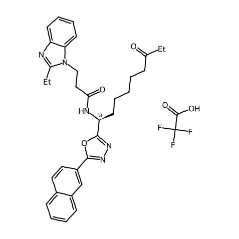 CCC(=O)CCCCC[C@H](NC(=O)CCn1c(CC)nc2ccccc21)c1nnc(-c2ccc3ccccc3c2)o1.O=C(O)C(F)(F)F